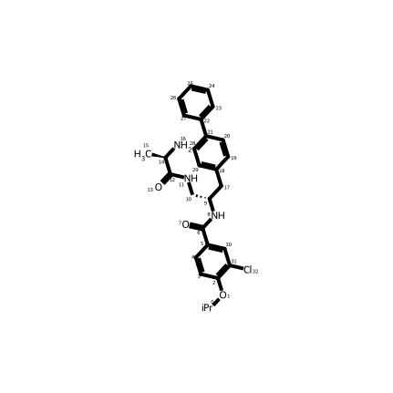 CC(C)Oc1ccc(C(=O)N[C@H](CNC(=O)[C@@H](C)N)Cc2ccc(-c3ccccc3)cc2)cc1Cl